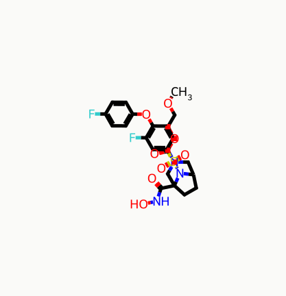 COCCOC(=O)N1CC2CCC(C(=O)NO)(C1)N2S(=O)(=O)c1ccc(Oc2ccc(F)cc2)c(F)c1